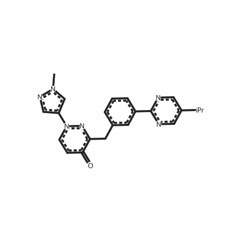 CC(C)c1cnc(-c2cccc(Cc3nn(-c4cnn(C)c4)ccc3=O)c2)nc1